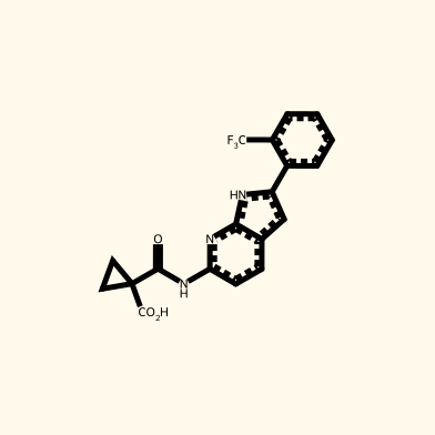 O=C(O)C1(C(=O)Nc2ccc3cc(-c4ccccc4C(F)(F)F)[nH]c3n2)CC1